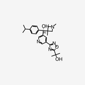 CC(C)c1ccc([C@](O)(c2cncc(-c3noc(C(C)(C)O)n3)c2)C2(C)CN(C)C2)cc1